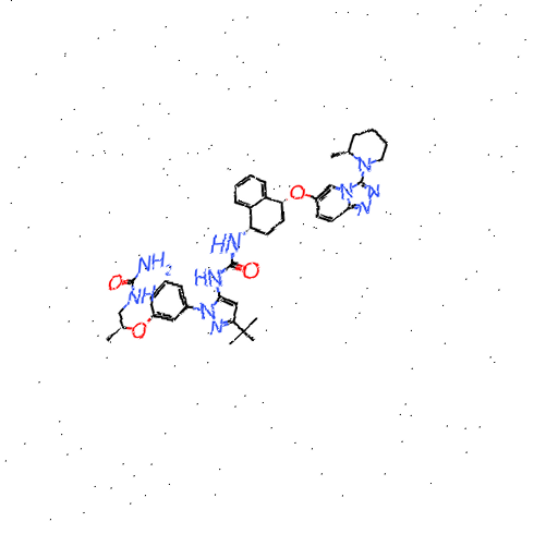 C[C@@H](CNC(N)=O)Oc1cccc(-n2nc(C(C)(C)C)cc2NC(=O)N[C@H]2CC[C@@H](Oc3ccc4nnc(N5CCCC[C@@H]5C)n4c3)c3ccccc32)c1